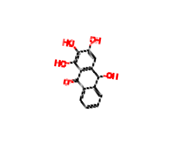 O=C1c2ccccc2C(O)c2cc(O)c(O)c(O)c21